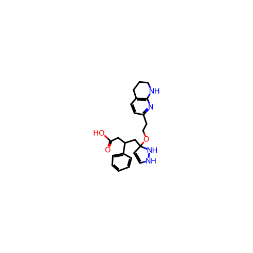 O=C(O)CC(CC1(OCCc2ccc3c(n2)NCCC3)C=CNN1)c1ccccc1